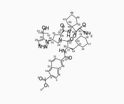 COC(=O)c1ccc2cc(C(=O)N[C@H](CC3CCCCC3)C(=O)N3C[C@@H](n4nncc4C(C)(C)O)C[C@H]3C(=O)NC3(C(=O)C(N)=O)CCCCC3)ccc2c1